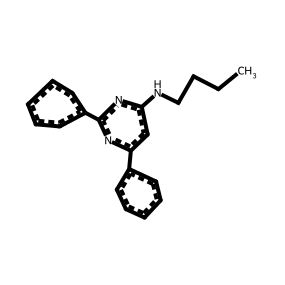 CCCCNc1cc(-c2ccccc2)nc(-c2ccccc2)n1